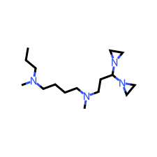 CCCN(C)CCCCN(C)CCC(N1CC1)N1CC1